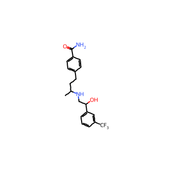 CC(CCc1ccc(C(N)=O)cc1)NCC(O)c1cccc(C(F)(F)F)c1